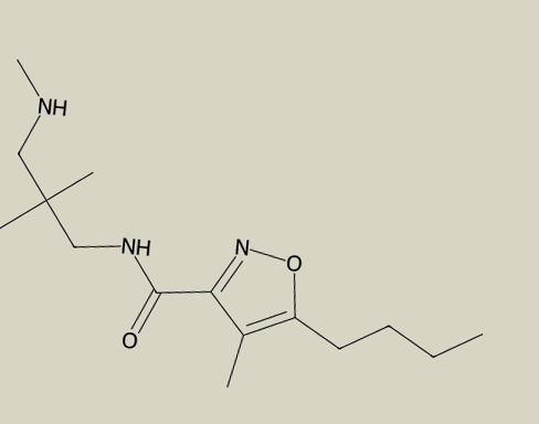 CCCCc1onc(C(=O)NCC(C)(C)CNC)c1C